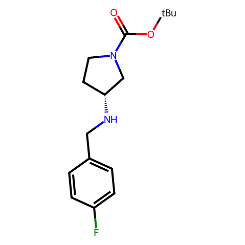 CC(C)(C)OC(=O)N1CC[C@@H](NCc2ccc(F)cc2)C1